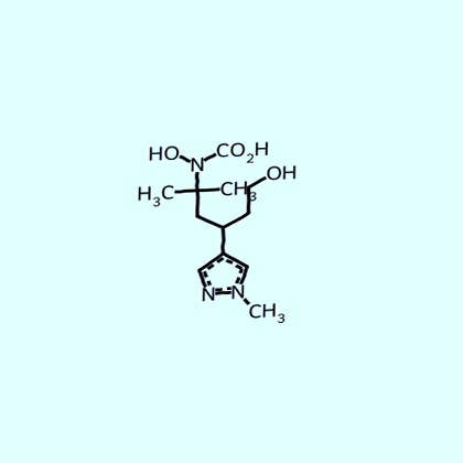 Cn1cc(C(CCO)CC(C)(C)N(O)C(=O)O)cn1